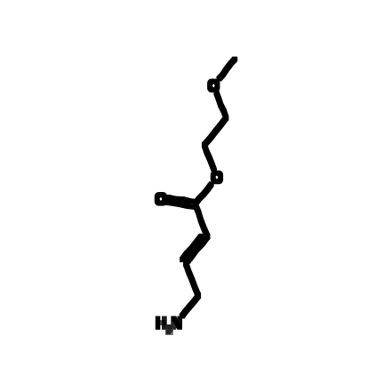 COCCOC(=O)/C=C/CN